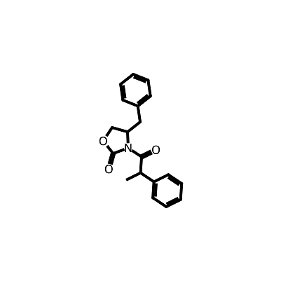 CC(C(=O)N1C(=O)OCC1Cc1ccccc1)c1ccccc1